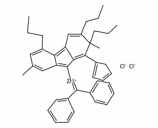 CCCC1=CC2=c3c(CCC)cc(C)cc3=[C]([Zr+2]=[C](c3ccccc3)c3ccccc3)C2=C(C2=CC=CC2)C1(C)CCC.[Cl-].[Cl-]